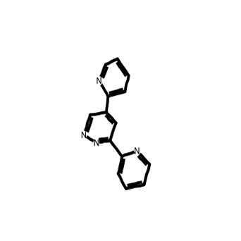 c1ccc(-c2cnnc(-c3ccccn3)c2)nc1